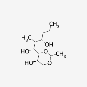 CCC[C@H](O)C(C)[C@@H](O)[C@@H]1OC(C)OC[C@H]1O